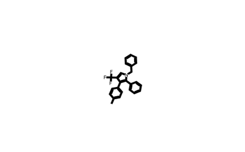 Cc1ccc(-c2c(C(F)(F)F)cn(Cc3ccccc3)c2-c2ccccc2)cc1